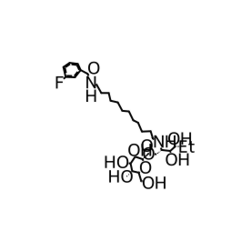 CC[C@@H](O)[C@@H](O)[C@H](CO[C@H]1OC(CO)[C@H](O)C(O)C1O)NC(=O)CCCCCCCCCCCNC(=O)c1cccc(F)c1